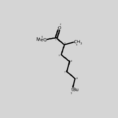 COC(=O)C(C)CCCCC(C)(C)C